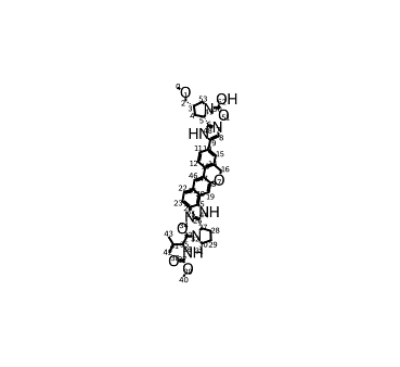 COC[C@H]1C[C@@H](c2ncc(-c3ccc4c(c3)COc3cc5c(ccc6nc([C@@H]7CC[C@H](C)N7C(=O)[C@@H](NC(=O)OC)C(C)C)[nH]c65)cc3-4)[nH]2)N(C(=O)O)C1